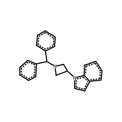 c1ccc(C(c2ccccc2)N2CC(n3ccc4ccccc43)C2)cc1